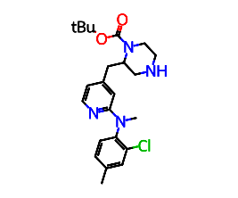 Cc1ccc(N(C)c2cc(CC3CNCCN3C(=O)OC(C)(C)C)ccn2)c(Cl)c1